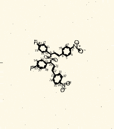 O=[N+]([O-])c1ccc(C=CC(c2ccc(F)cc2)S(=O)(=O)C(C=Cc2ccc([N+](=O)[O-])cc2)c2ccc(F)cc2)cc1